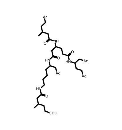 CC(=O)CCC(C)CC(=O)NC(CCC(=O)NC(CCC(C)=O)CC(C)=O)CC(=O)NC(CCCCNC(=O)CC(C)CCC=O)CC(C)=O